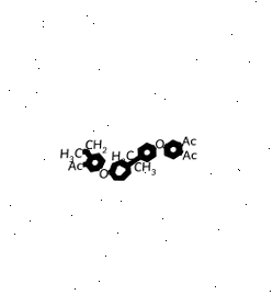 C=C(C)c1ccc(OC2=CC=C(C(C)(C)c3ccc(Oc4ccc(C(C)=O)c(C(C)=O)c4)cc3)C=CC2)cc1C(C)=O